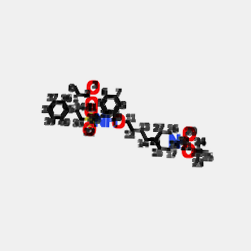 CCC(=O)Oc1cccc(OCCCCC2CCN(C(=O)OC(C)(C)C)CC2)c1NS(=O)(=O)CCc1ccccc1